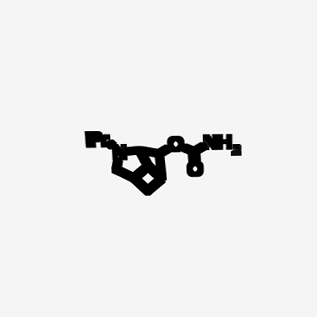 CC(C)N1CC2CC3C(OC(N)=O)C1C23